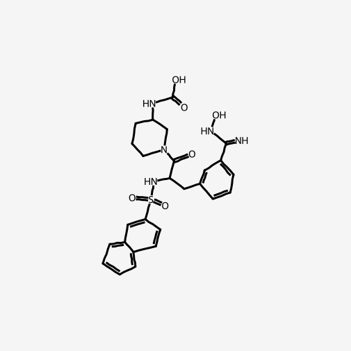 N=C(NO)c1cccc(CC(NS(=O)(=O)c2ccc3ccccc3c2)C(=O)N2CCCC(NC(=O)O)C2)c1